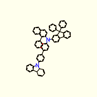 C1=CC2c3ccccc3N(c3ccc(-c4ccc(N(c5ccc6c(c5)C(c5ccccc5)(c5ccccc5)c5ccccc5-6)c5ccc6ccccc6c5-c5ccccc5)cc4)cc3)C2C=C1